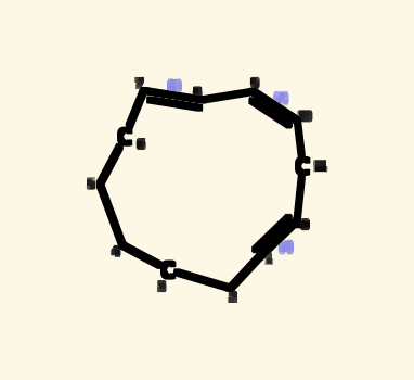 [C]1=C\CCCCC/C=C/C=C\C/1